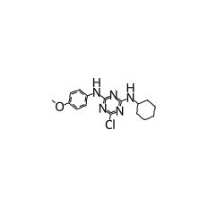 COc1ccc(Nc2nc(Cl)nc(NC3CCCCC3)n2)cc1